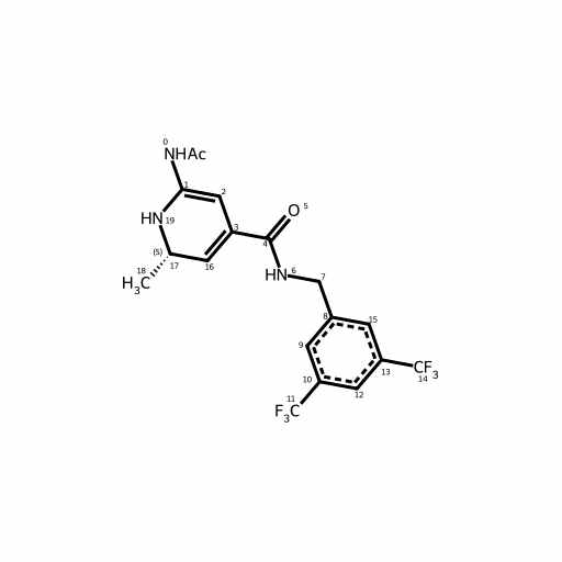 CC(=O)NC1=CC(C(=O)NCc2cc(C(F)(F)F)cc(C(F)(F)F)c2)=C[C@H](C)N1